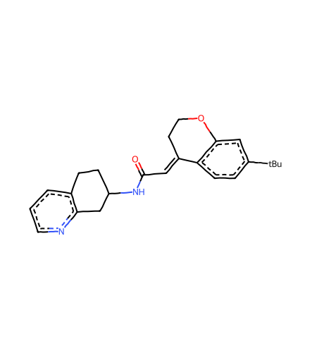 CC(C)(C)c1ccc2c(c1)OCCC2=CC(=O)NC1CCc2cccnc2C1